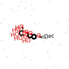 CCCCCCCCCCCOc1ccc2c(O)c(O[C@@H]3O[C@H](CO)[C@H](O)[C@H](O)[C@H]3O)c(=O)oc2c1